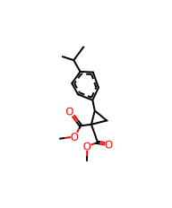 COC(=O)C1(C(=O)OC)CC1c1ccc(C(C)C)cc1